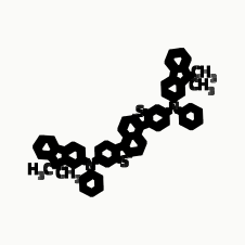 CC1(C)c2ccccc2-c2ccc(N(C3=CCCC=C3)C3=Cc4sc5ccc6c(ccc7sc8cc(N(c9ccc%10c(c9)C(C)(C)c9ccccc9-%10)C9C=CC=CC9)ccc8c76)c5c4CC3)cc21